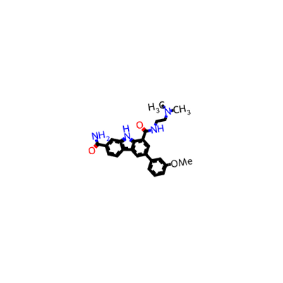 COc1cccc(-c2cc(C(=O)NCCN(C)C)c3[nH]c4cc(C(N)=O)ccc4c3c2)c1